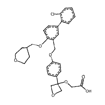 O=C(O)COC1(c2ccc(OCc3cc(-c4ccccc4Cl)ccc3OCC3CCOCC3)cc2)COC1